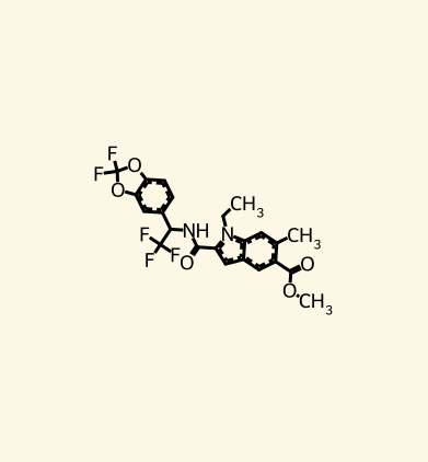 CCn1c(C(=O)NC(c2ccc3c(c2)OC(F)(F)O3)C(F)(F)F)cc2cc(C(=O)OC)c(C)cc21